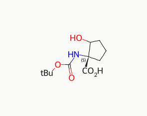 CC(C)(C)OC(=O)N[C@@]1(C(=O)O)CCCC1O